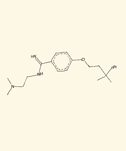 CCCC(C)(C)CCOc1ccc(C(=N)NCCN(C)C)cc1